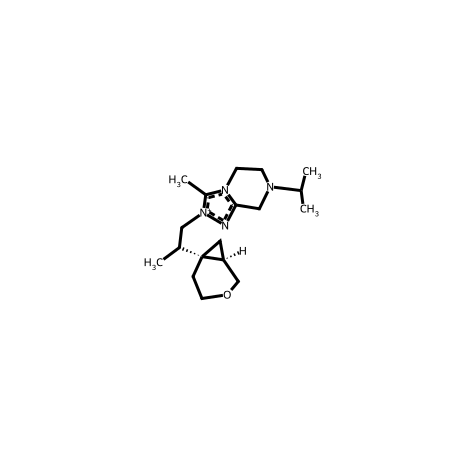 Cc1n2c(n[n+]1CC(C)[C@@]13CCOC[C@@H]1C3)CN(C(C)C)CC2